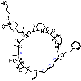 C=C[C@@H]1/C=C/C=C/C=C(\C)C(OCCc2ccccc2)C[C@@H]2CC[C@@H](C)[C@@](O)(O2)C(=O)C(=O)N2CCCCC2C(=O)O[C@H]([C@H](C)C[C@@H]2CC[C@@H](OCCCO)[C@H](OC)C2)CC(=O)[C@H](C)/C=C(\C)[C@@H](O)[C@@H](OC)C(=O)[C@H](C)C1